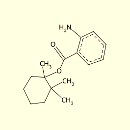 CC1(C)CCCCC1(C)OC(=O)c1ccccc1N